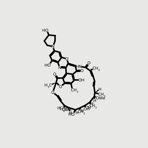 CO[C@@H]1[C@@H](C)[C@@H](O)[C@@H](C)[C@H](O)[C@H](C)[C@@H](OC)/C=C/O[C@@]2(C)Oc3c(C)c(O)c4c(=O)c(c5oc6cc(N7CCC(O)CC7)cc(O)c6nc-5c4c3C2=O)NC(=O)/C(C)=C\C=C\[C@@H]1C